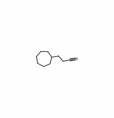 N#CC[CH]C1CCCCCC1